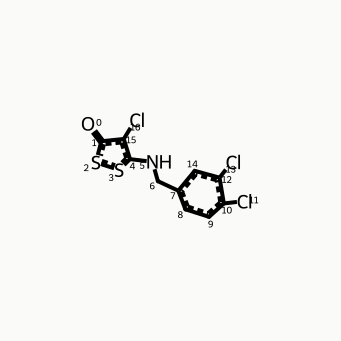 O=c1ssc(NCc2ccc(Cl)c(Cl)c2)c1Cl